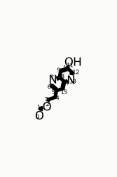 O=COCCc1cnc2cc(O)cnc2c1